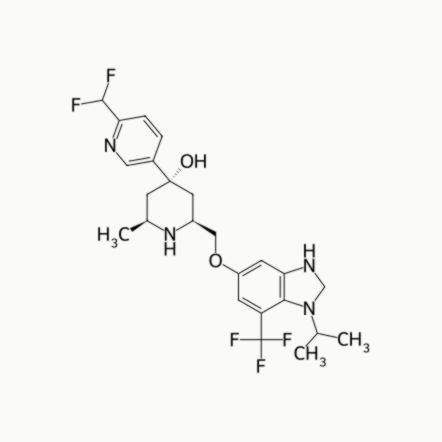 CC(C)N1CNc2cc(OC[C@@H]3C[C@](O)(c4ccc(C(F)F)nc4)C[C@H](C)N3)cc(C(F)(F)F)c21